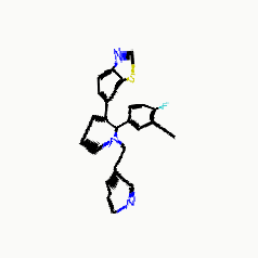 Cc1cc(C2C(c3ccc4ncsc4c3)=CC=CN2Cc2cccnc2)ccc1F